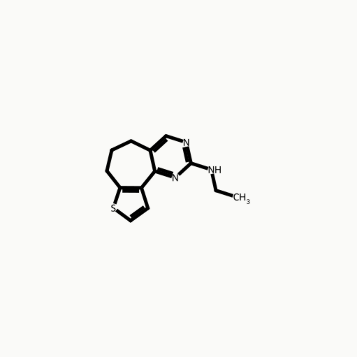 CCNc1ncc2c(n1)-c1ccsc1CCC2